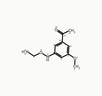 COc1cc(NOCN)cc(C(C)=O)c1